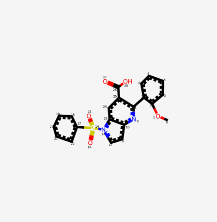 COc1ccccc1-c1nc2ccn(S(=O)(=O)c3ccccc3)c2cc1C(=O)O